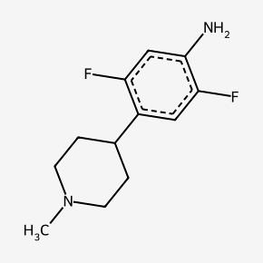 CN1CCC(c2cc(F)c(N)cc2F)CC1